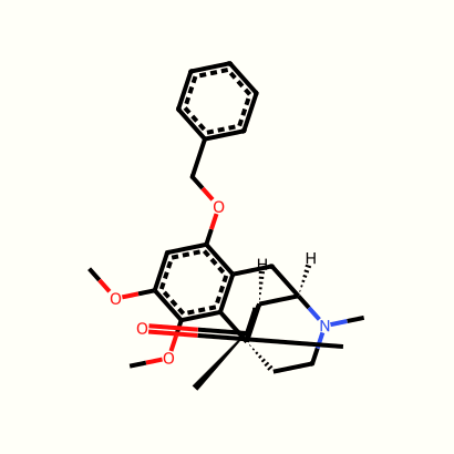 COc1cc(OCc2ccccc2)c2c(c1OC)[C@]13CCN(C)[C@H](C2)[C@@H]1CCC(=O)[C@H]3C